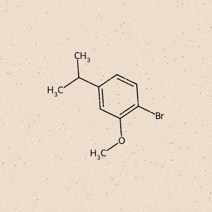 COc1cc(C(C)C)ccc1Br